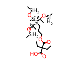 CCC(CC)(C(=O)O)C(=O)OCCC[Si]([Si](C)(C)O[SiH2]C)([Si](C)(C)O[SiH2]C)[Si](C)(C)O[SiH2]C